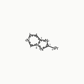 CC(C)c1nc2ccncn2n1